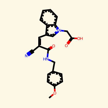 COc1ccc(CNC(=O)C(C#N)=Cc2cn(CC(=O)O)c3ccccc23)cc1